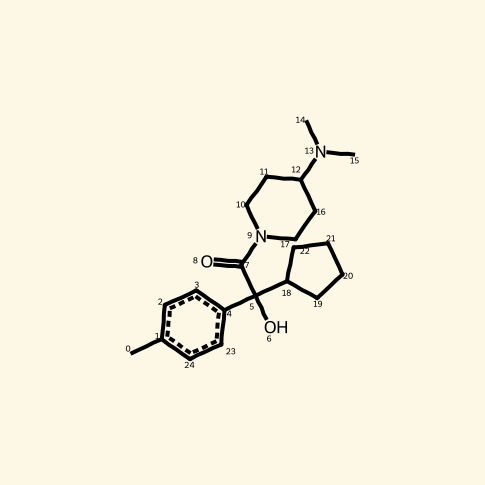 Cc1ccc(C(O)(C(=O)N2CCC(N(C)C)CC2)C2CCCC2)cc1